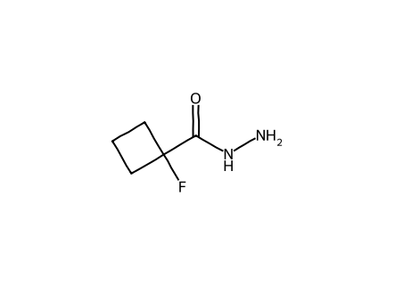 NNC(=O)C1(F)CCC1